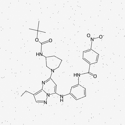 CCc1cnn2c(Nc3cccc(NC(=O)c4ccc([N+](=O)[O-])cc4)c3)cc(N3CCCC(NC(=O)OC(C)(C)C)C3)nc12